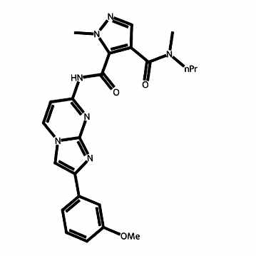 CCCN(C)C(=O)c1cnn(C)c1C(=O)Nc1ccn2cc(-c3cccc(OC)c3)nc2n1